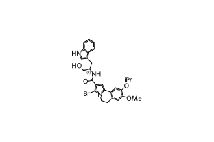 COc1cc2c(cc1OC(C)C)-c1cc(C(=O)N[C@@H](CO)Cc3c[nH]c4ccccc34)c(Br)n1CC2